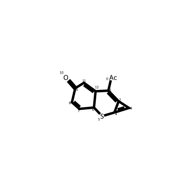 CC(=O)C1=C2C=C2SC2C=CC(=O)C=C12